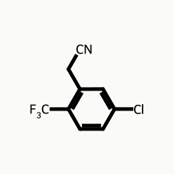 N#CCc1cc(Cl)ccc1C(F)(F)F